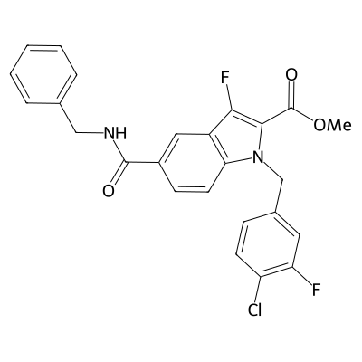 COC(=O)c1c(F)c2cc(C(=O)NCc3ccccc3)ccc2n1Cc1ccc(Cl)c(F)c1